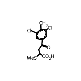 CSC(CC(=O)c1cc(Cl)c(C)c(Cl)c1)C(=O)O